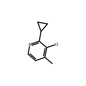 Cc1ccnc(C2CC2)c1Cl